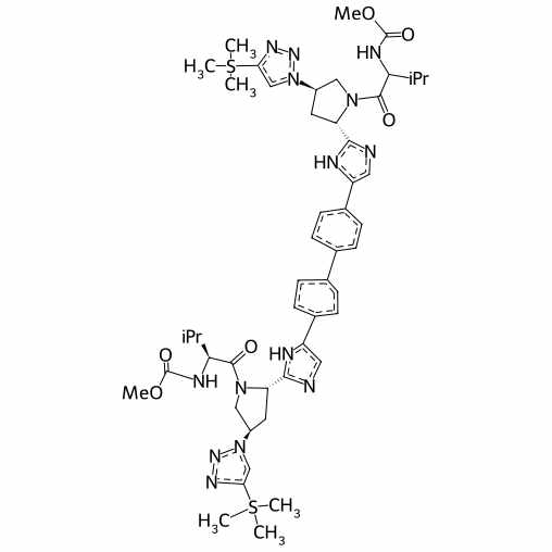 COC(=O)NC(C(=O)N1C[C@H](n2cc(S(C)(C)C)nn2)C[C@H]1c1ncc(-c2ccc(-c3ccc(-c4cnc([C@@H]5C[C@@H](n6cc(S(C)(C)C)nn6)CN5C(=O)[C@@H](NC(=O)OC)C(C)C)[nH]4)cc3)cc2)[nH]1)C(C)C